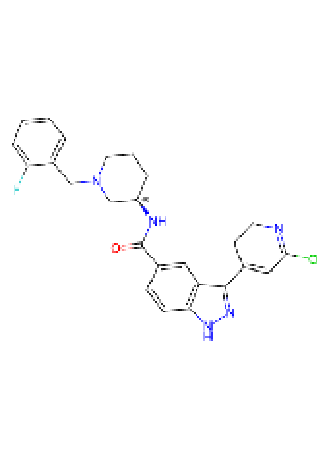 O=C(N[C@@H]1CCCN(Cc2ccccc2F)C1)c1ccc2[nH]nc(C3=CC(Cl)=NCC3)c2c1